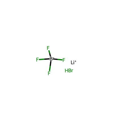 Br.F[B-](F)(F)F.[Li+]